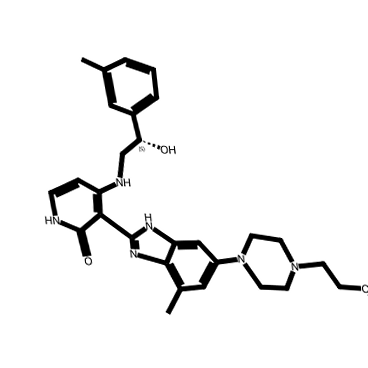 COCCN1CCN(c2cc(C)c3nc(-c4c(NC[C@@H](O)c5cccc(C)c5)cc[nH]c4=O)[nH]c3c2)CC1